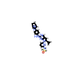 CS(C)(=O)=Nc1cccc(-n2c(C3CC3)cc3cnc(Nc4ccc(C5=CC6CCC(C5)N6)cc4)nc32)n1